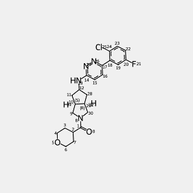 O=C(C1CCOCC1)N1C[C@H]2CC(Nc3ccc(-c4cc(F)ccc4Cl)nn3)C[C@H]2C1